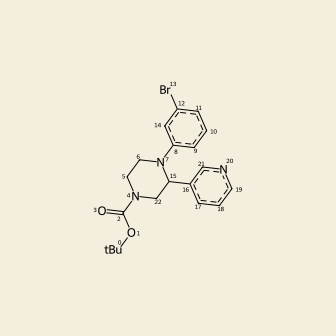 CC(C)(C)OC(=O)N1CCN(c2cccc(Br)c2)C(c2cccnc2)C1